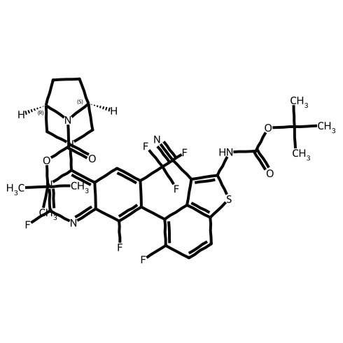 CC(C)(C)OC(=O)Nc1sc2ccc(F)c(-c3c(C(F)(F)F)cc4c(N5C[C@H]6CC[C@@H](C5)N6C(=O)OC(C)(C)C)nc(F)nc4c3F)c2c1C#N